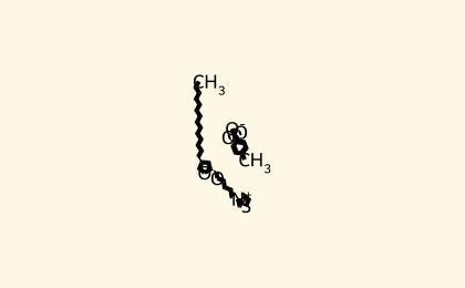 CCCCCCCCCCCCCC[C@@H]1CO[C@@H](COCCCC[n+]2ccsc2)C1.Cc1ccc(S(=O)(=O)[O-])cc1